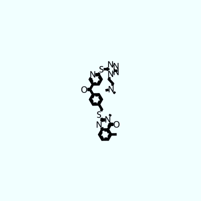 Cc1cccc2nc(SCc3ccc(C(=O)c4ccc(Sc5nnnn5CCN(C)C)nc4)cc3)n(C)c(=O)c12